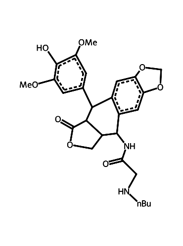 CCCCNCC(=O)NC1c2cc3c(cc2C(c2cc(OC)c(O)c(OC)c2)C2C(=O)OCC12)OCO3